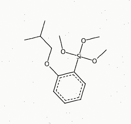 CO[Si](OC)(OC)c1ccccc1OCC(C)C